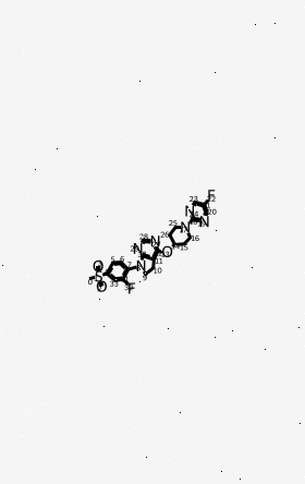 CS(=O)(=O)c1ccc(N2CCc3c(OC4CCN(c5ncc(F)cn5)CC4)ncnc32)c(F)c1